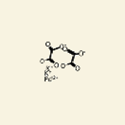 O=C([O-])C(=O)[O-].O=C([O-])C(=O)[O-].[K+].[K+].[Pd+2]